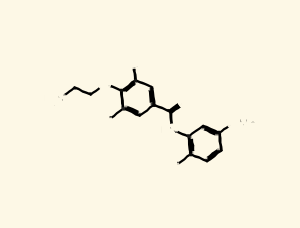 COc1ccc(Cl)c(NC(=O)c2cc(Cl)c(OCCN)c(Cl)c2)c1